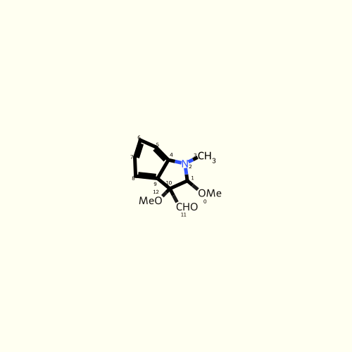 COC1N(C)c2ccccc2C1(C=O)OC